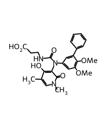 COc1cc(N(C(=O)NCCC(=O)O)c2c(O)c(C)cn(C)c2=O)cc(-c2ccccc2)c1OC